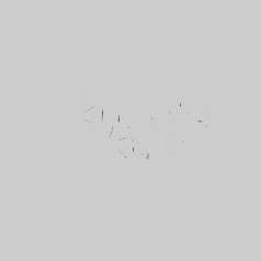 CNc1ncc2cc(-c3c(Cl)c(OC)cc(OC)c3Cl)c(=O)n(CCN3CCN(C(=O)C(C)(C#N)CCC(C)(C)C)CC3)c2n1